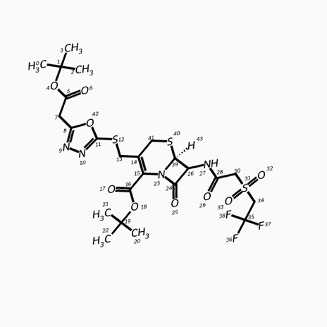 CC(C)(C)OC(=O)Cc1nnc(SCC2=C(C(=O)OC(C)(C)C)N3C(=O)C(NC(=O)CS(=O)(=O)CC(F)(F)F)[C@@H]3SC2)o1